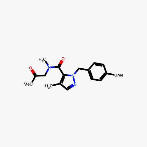 COC(=O)CN(C)C(=O)c1c(C)cnn1Cc1ccc(OC)cc1